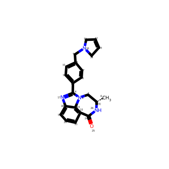 C[C@H]1Cn2c(-c3ccc(CN4CC=CC4)cc3)nc3cccc(c32)C(=O)N1